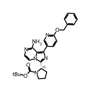 CC(C)(C)OC(=O)N1CCC[C@H]1c1nc(-c2ccc(OCc3ccccc3)nc2)c2c(N)nccn12